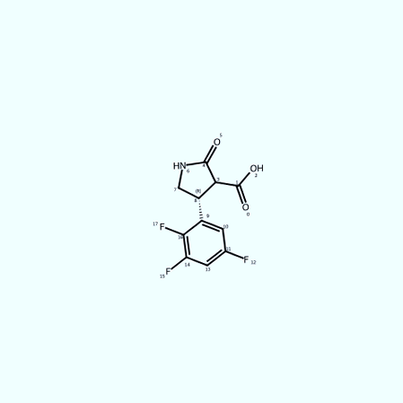 O=C(O)C1C(=O)NC[C@H]1c1cc(F)cc(F)c1F